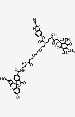 CC1=C(C)C(=O)C(C(C)(C)CC(=O)N(C)CCN(CCOCCOCCC(=O)NCCNC(=O)c2ccc3c(c2)C(=O)OC32c3ccc(O)cc3Oc3cc(O)ccc32)C(=O)Oc2ccc3nc(C#N)sc3c2)=C(C)C1=O